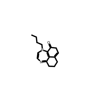 CCCCN1C=CN=C2CCCC3=CCC(=O)C1=C32